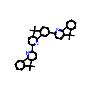 CC1(C)c2ccccc2-c2nc(-c3ccc4c(c3)-c3nc(-c5ccc6c(n5)-c5ccccc5C6(C)C)ccc3C4(C)C)ccc21